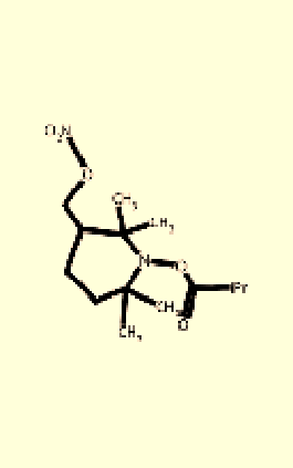 CC(C)C(=O)ON1C(C)(C)CCC(CO[N+](=O)[O-])C1(C)C